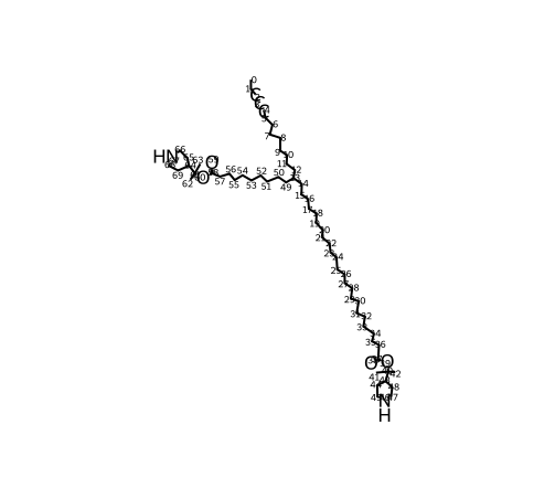 CCCCCCCCCCCCCC(CCCCCCCCCCCCCCCCCCCCCCCC(=O)OC(C)(C)C1CCNCC1)CCCCCCCCCC(=O)OC(C)(C)C1CCNCC1